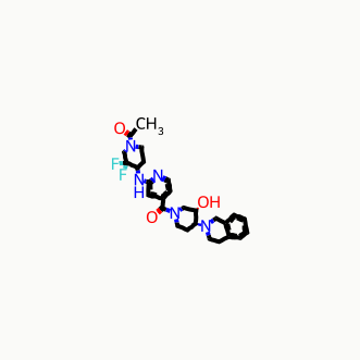 CC(=O)N1CCC(Nc2cc(C(=O)N3CC[C@H](N4CCc5ccccc5C4)[C@@H](O)C3)ccn2)C(F)(F)C1